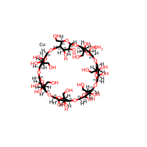 O.OC[C@H]1O[C@@H]2O[C@H]3[C@H](O)[C@@H](O)[C@@H](O[C@H]4[C@H](O)[C@@H](O)[C@@H](O[C@H]5[C@H](O)[C@@H](O)[C@@H](O[C@H]6[C@H](O)[C@@H](O)[C@@H](O[C@H]7[C@H](O)[C@@H](O)[C@@H](O[C@H]8[C@H](O)[C@@H](O)[C@@H](O[C@H]1[C@H](O)[C@H]2O)O[C@@H]8CO)O[C@@H]7CO)O[C@@H]6CO)O[C@@H]5CO)O[C@@H]4CO)O[C@@H]3CO.[Cu]